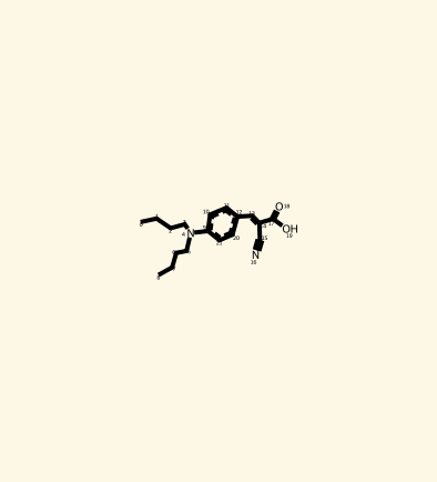 CCCCN(CCCC)c1ccc(/C=C(\C#N)C(=O)O)cc1